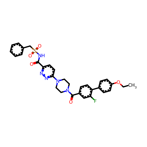 CCOc1ccc(-c2ccc(C(=O)N3CCN(c4ccc(C(=O)NS(=O)(=O)Cc5ccccc5)nn4)CC3)cc2F)cc1